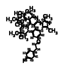 Cc1cn(-c2nc(C)c([C@H](OC(C)(C)C)C(=O)O)c(N3CCC(C)(C)CC3)c2-c2ccc(OCCc3ccc(F)cc3)cc2)c(C)n1